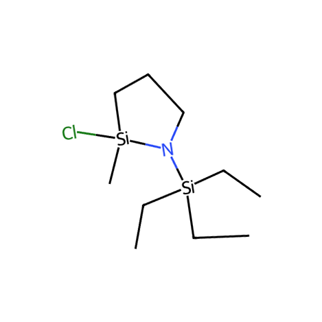 CC[Si](CC)(CC)N1CCC[Si]1(C)Cl